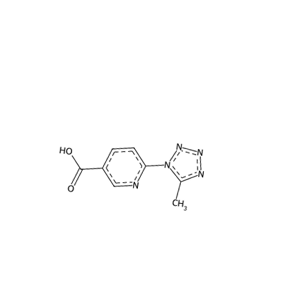 Cc1nnnn1-c1ccc(C(=O)O)cn1